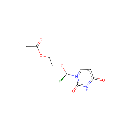 CC(=O)OCCO[C@H](F)n1ccc(=O)[nH]c1=O